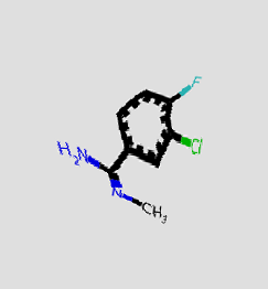 C/N=C(/N)c1ccc(F)c(Cl)c1